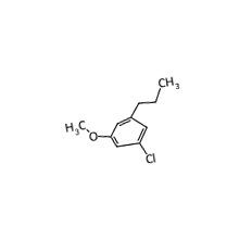 CCCc1cc(Cl)cc(OC)c1